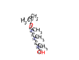 CC(C)=CCOC/C(C)=C/CC/C(C)=C/CC/C(C)=C/CO